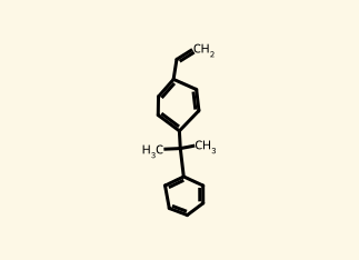 C=Cc1ccc(C(C)(C)c2ccccc2)cc1